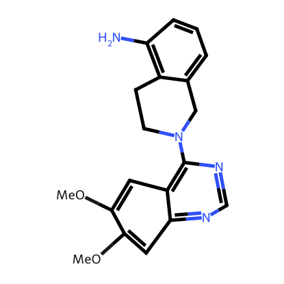 COc1cc2ncnc(N3CCc4c(N)cccc4C3)c2cc1OC